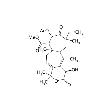 C=CC1(C)CC2C(C)=C3C(=CCC2(C)[C@H](C(=O)OC)C(OC(C)=O)C1=O)C(C)(C)OC(=O)[C@@H]3O